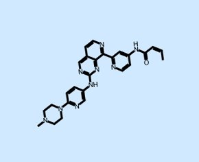 C/C=C\C(=O)Nc1ccnc(-c2nccc3cnc(Nc4ccc(N5CCN(C)CC5)nc4)nc23)c1